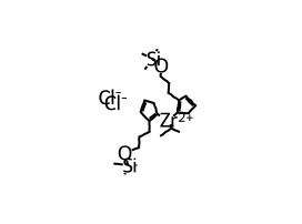 C[C](C)=[Zr+2]([C]1=C(CCCO[Si](C)(C)C)C=CC1)[C]1=C(CCCO[Si](C)(C)C)C=CC1.[Cl-].[Cl-]